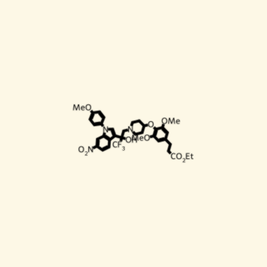 CCOC(=O)CCc1cc(OC)c(OC2CCN(CC(O)(c3cn(-c4ccc(OC)cc4)c4cc([N+](=O)[O-])ccc34)C(F)(F)F)CC2)c(OC)c1